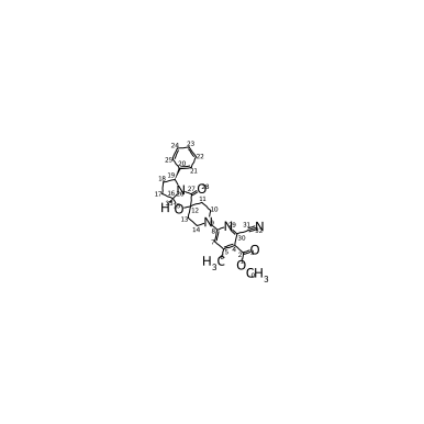 COC(=O)c1c(C)cc(N2CCC3(CC2)O[C@@H]2CC[C@@H](c4ccccc4)N2C3=O)nc1C#N